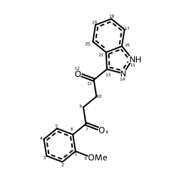 COc1ccccc1C(=O)CCC(=O)c1n[nH]c2ccccc12